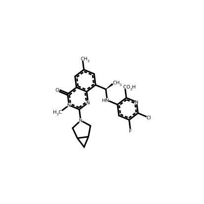 Cc1cc([C@@H](C)Nc2cc(F)c(Cl)nc2C(=O)O)c2nc(N3CC4CC4C3)n(C)c(=O)c2c1